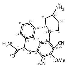 COc1c(C#N)c(SC(C(N)=O)c2ccccc2)nc(N2CCC(N)CC2)c1C#N